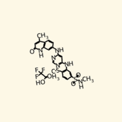 CNS(=O)(=O)c1ccc(SC)c(Nc2cc(Nc3ccc4c(C)cc(=O)[nH]c4c3)ncn2)c1.O=C(O)C(F)(F)F